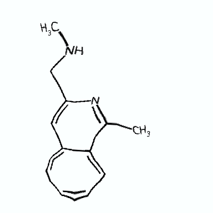 CNCc1cc2ccccc2c(C)n1